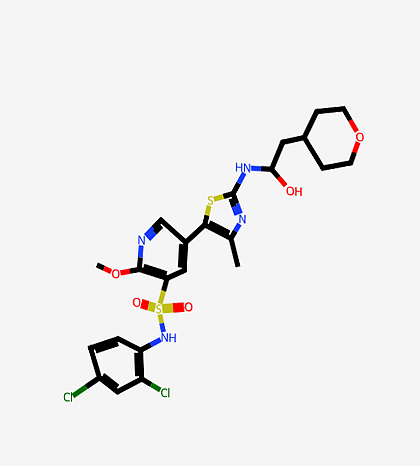 COc1ncc(-c2sc(NC(O)CC3CCOCC3)nc2C)cc1S(=O)(=O)Nc1ccc(Cl)cc1Cl